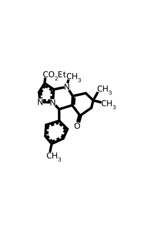 CCOC(=O)c1cnn2c1N(C)C1=C(C(=O)CC(C)(C)C1)C2c1ccc(C)cc1